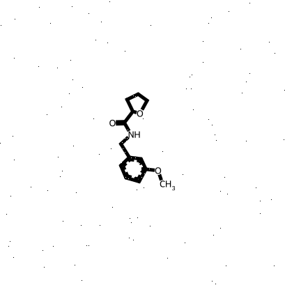 COc1cccc(CNC(=O)C2CCCO2)c1